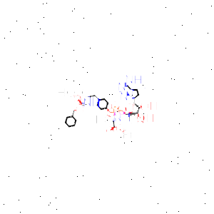 CC(C)OC(=O)[C@H](C)NP(=O)(OC[C@@]1(C#N)O[C@@H](c2ccc3c(N)ncnn23)[C@H](O)[C@@H]1O)Oc1ccc(C[C@H](NC(=O)OCc2ccccc2)C(=O)O)cc1